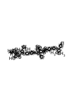 Cc1ncsc1-c1ccc(CNC(=O)C2CC(O)CN2C(=O)[C@@H](NC(=O)C2(F)CC2)C(C)(C)C)c(OC2CCC(N3CCN(CC[C@H](CSc4ccccc4)Nc4ccc(S(=O)(=O)NC(=O)c5ccc(N6CCN(CC7=C(c8ccc(Cl)cc8)CCC(C)(C)C7)CC6)cc5)cc4S(=O)(=O)C(F)(F)F)CC3)CC2)c1